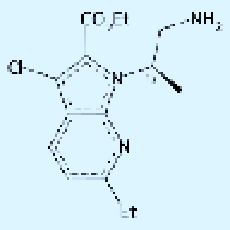 CCOC(=O)c1c(Cl)c2ccc(CC)nc2n1[C@H](C)CN